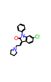 O=C1C(=CCN2CCCC2)c2ccc(Cl)cc2N1c1ccccc1